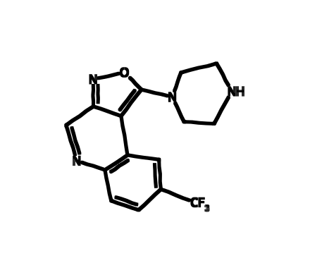 FC(F)(F)c1ccc2ncc3noc(N4CCNCC4)c3c2c1